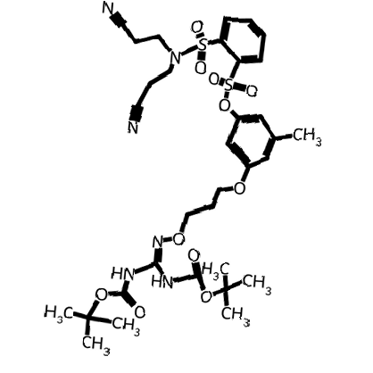 Cc1cc(OCCCON=C(NC(=O)OC(C)(C)C)NC(=O)OC(C)(C)C)cc(OS(=O)(=O)c2ccccc2S(=O)(=O)N(CCC#N)CCC#N)c1